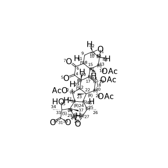 CC(=O)O[C@@H]1[C@H]2[C@@H]3C(=O)C(=O)[C@H]4C[C@@H]5O[C@@H]5[C@H](OC(C)=O)[C@]4(C)[C@H]3[C@H](OC(C)=O)[C@H](OC(C)=O)[C@]2(C)[C@H]2[C@H](C)[C@H]3O[C@]34OC(=O)[C@@](C)(O)[C@]4(C)[C@H]12